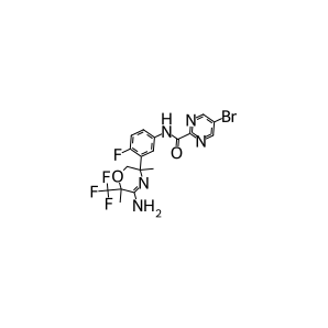 CC1(c2cc(NC(=O)c3ncc(Br)cn3)ccc2F)COC(C)(C(F)(F)F)C(N)=N1